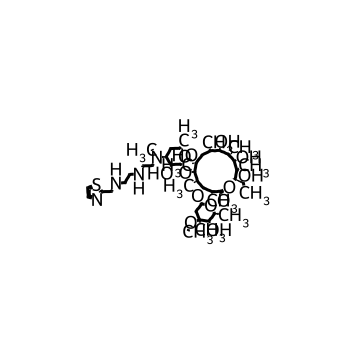 CC[C@H]1OC(=O)[C@H](C)[C@@H](OC2C[C@@](C)(OC)[C@@H](O)[C@H](C)O2)[C@H](C)[C@@H](O[C@@H]2O[C@H](C)C[C@H](N(C)CCNCCNCc3nccs3)[C@H]2O)[C@@](C)(O)C[C@@H](C)[C@H](O)[C@H](C)[C@@H](O)[C@]1(C)O